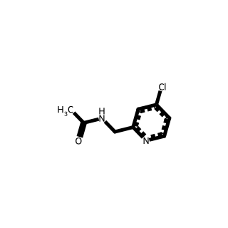 CC(=O)NCc1cc(Cl)ccn1